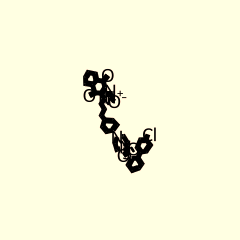 O=C1c2ccccc2C(=O)c2c1n[n+]([O-])n2CCCc1ccc(N2CCN(S(=O)(=O)c3ccccc3-c3ccc(Cl)cc3)CC2)cc1